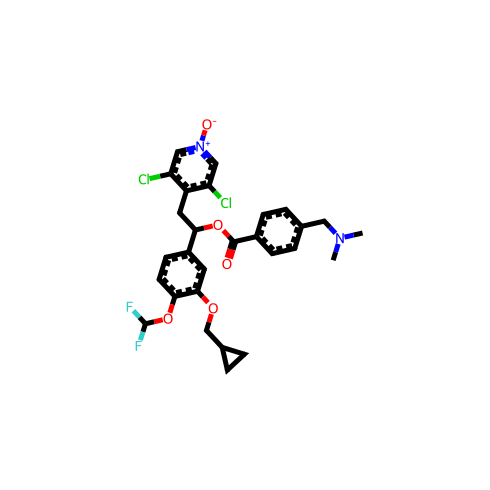 CN(C)Cc1ccc(C(=O)OC(Cc2c(Cl)c[n+]([O-])cc2Cl)c2ccc(OC(F)F)c(OCC3CC3)c2)cc1